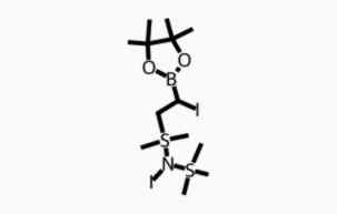 CC1(C)OB(C(I)CS(C)(C)N(I)S(C)(C)C)OC1(C)C